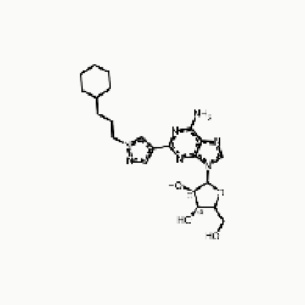 Nc1nc(-c2cnn(CCCC3CCCCC3)c2)nc2c1ncn2C1OC(CO)[C@@H](O)[C@H]1O